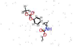 CCOC(=O)N[C@@H]1C[C@H]1c1ccc(OC(=O)OC(C)(C)C)cc1